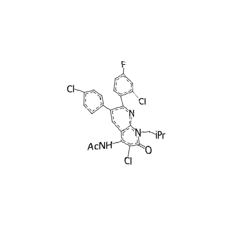 CC(=O)Nc1c(Cl)c(=O)n(CC(C)C)c2nc(-c3ccc(F)cc3Cl)c(-c3ccc(Cl)cc3)cc12